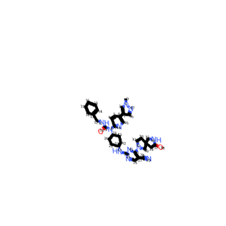 Cn1cc(-c2ccc(N(C(=O)NCc3ccccc3)[C@H]3CC[C@H](Nc4ncc(C#N)c(N5CCC6(CNC(=O)C6)C5)n4)CC3)nc2)cn1